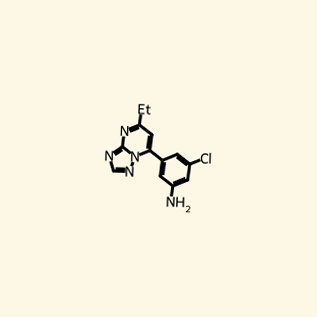 CCc1cc(-c2cc(N)cc(Cl)c2)n2ncnc2n1